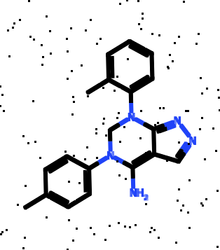 Cc1ccc(N2CN(c3ccccc3C)C3=NN=CC3=C2N)cc1